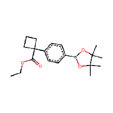 CCOC(=O)C1(c2ccc(B3OC(C)(C)C(C)(C)O3)cc2)CCC1